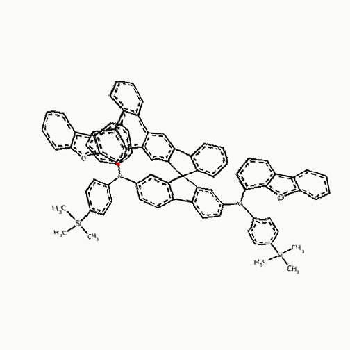 C[Si](C)(C)c1ccc(N(c2ccc3c(c2)C2(c4ccccc4-c4cc5c6ccccc6c6ccccc6c5cc42)c2cc(N(c4ccc([Si](C)(C)C)cc4)c4cccc5c4oc4ccccc45)ccc2-3)c2cccc3c2oc2ccccc23)cc1